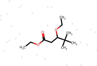 CCOC(=O)CC(OCC)C(C)(C)C